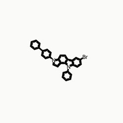 Brc1ccc2c(c1)c1ccc3c(ccn3-c3ccc(-c4ccccc4)cc3)c1n2-c1ccccc1